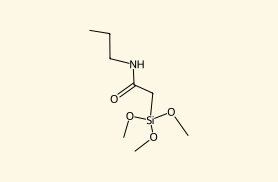 CCCNC(=O)C[Si](OC)(OC)OC